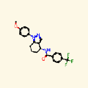 COc1ccc(-n2ncc3c2CCCC3NC(=O)c2ccc(C(F)(F)F)cc2)cc1